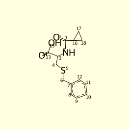 O=C(NC(CSCc1ccccc1)C(=O)O)C1CC1